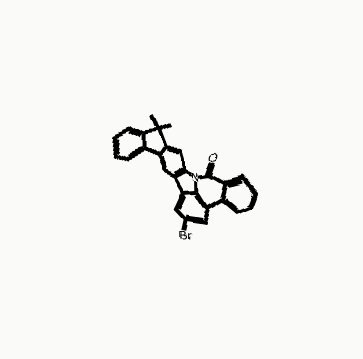 CC1(C)c2ccccc2-c2cc3c4cc(Br)cc5c6ccccc6c(=O)n(c3cc21)c54